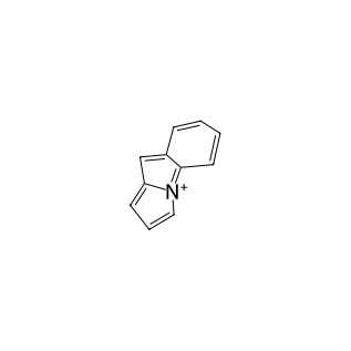 C1=C[N+]2=c3ccccc3=CC2=C1